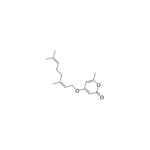 CC(C)=CCCC(C)=CCOc1cc(C)oc(=O)c1